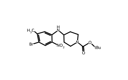 Cc1cc(NC2CCN(C(=O)OC(C)(C)C)CC2)c([N+](=O)[O-])cc1Br